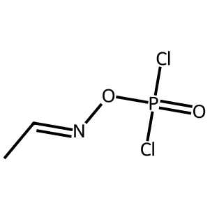 CC=NOP(=O)(Cl)Cl